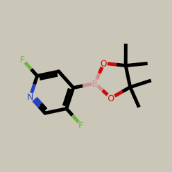 CC1(C)OB(c2cc(F)ncc2F)OC1(C)C